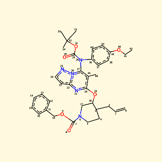 C=CCC1CCN(C(=O)OCc2ccccc2)CC1Oc1nc2ccnn2c(N(C(=O)OC(C)(C)C)c2ccc(OCC)cc2)c1C